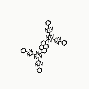 c1ccc(-c2ncc(-c3nc(-c4cnc(-c5ccccc5)nc4)nc(-c4ccc5ccc6c(-c7nc(-c8cnc(-c9ccccc9)nc8)nc(-c8cnc(-c9ccccc9)nc8)n7)ccc7ccc4c5c76)n3)cn2)cc1